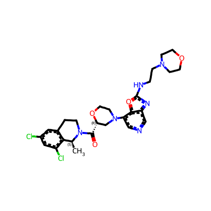 C[C@H]1c2c(Cl)cc(Cl)cc2CCN1C(=O)[C@H]1CN(c2cncc3nc(NCCN4CCOCC4)oc23)CCO1